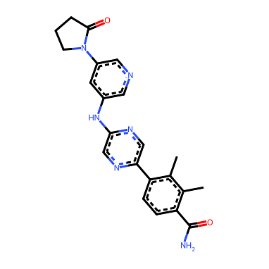 Cc1c(C(N)=O)ccc(-c2cnc(Nc3cncc(N4CCCC4=O)c3)cn2)c1C